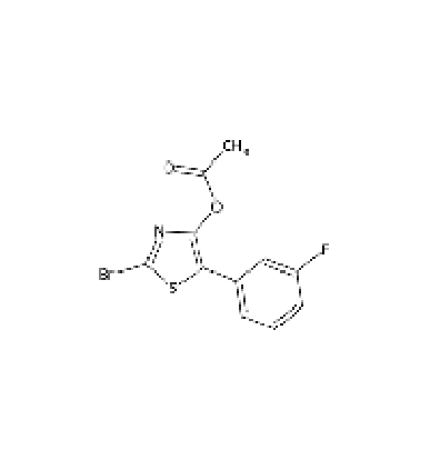 CC(=O)Oc1nc(Br)sc1-c1cccc(F)c1